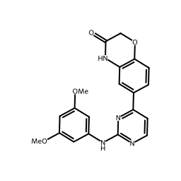 COc1cc(Nc2nccc(-c3ccc4c(c3)NC(=O)CO4)n2)cc(OC)c1